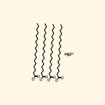 CCCCCCCCCCCCCCCCCC(=O)[O-].CCCCCCCCCCCCCCCCCC(=O)[O-].CCCCCCCCCCCCCCCCCC(=O)[O-].CCCCCCCCCCCCCCCCCC(=O)[O-].[Ca+2].[Mg+2]